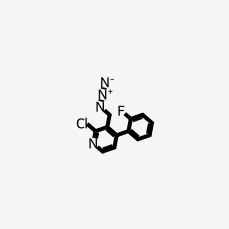 [N-]=[N+]=NCc1c(-c2ccccc2F)ccnc1Cl